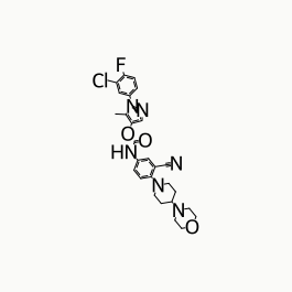 Cc1c(OC(=O)Nc2ccc(N3CCC(N4CCOCC4)CC3)c(C#N)c2)cnn1-c1ccc(F)c(Cl)c1